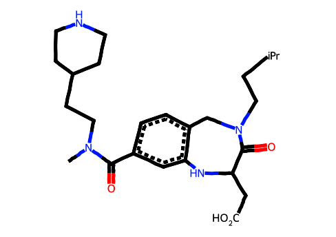 CC(C)CCN1Cc2ccc(C(=O)N(C)CCC3CCNCC3)cc2NC(CC(=O)O)C1=O